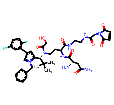 CC(C)(C)[C@H](c1cc(-c2cc(F)ccc2F)cn1Cc1ccccc1)N(CCC(NC(=O)[C@@H](N)CC(N)=O)C(=O)NCCNC(=O)CN1C(=O)C=CC1=O)C(=O)CO